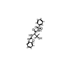 CC(C)(S)[C@@H](Nc1nc2ccccc2o1)C(=O)NS(=O)(=O)c1ccccc1